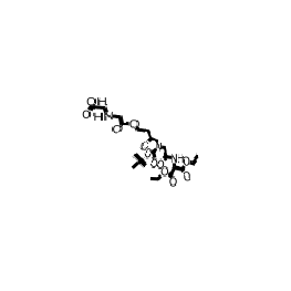 CCOC(=O)C(NC(=O)CN(CC(=O)CCOC(=O)CNCC(=O)O)C(=O)OC(C)(C)C)C(=O)OCC